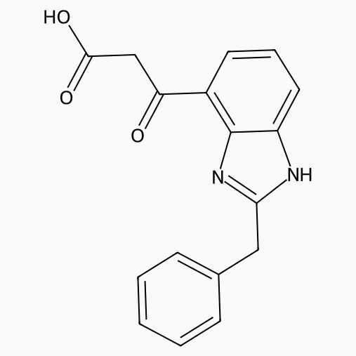 O=C(O)CC(=O)c1cccc2[nH]c(Cc3ccccc3)nc12